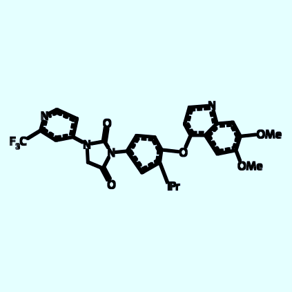 COc1cc2nccc(Oc3ccc(N4C(=O)CN(c5ccnc(C(F)(F)F)c5)C4=O)cc3C(C)C)c2cc1OC